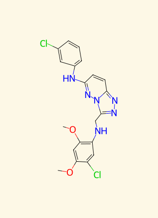 COc1cc(OC)c(NCc2nnc3ccc(Nc4cccc(Cl)c4)nn23)cc1Cl